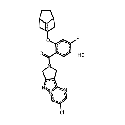 Cl.O=C(c1ccc(F)cc1OC1CC2CCC(C1)N2)N1Cc2nn3cc(Cl)cnc3c2C1